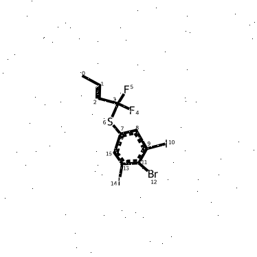 C/C=C/C(F)(F)Sc1cc(I)c(Br)c(I)c1